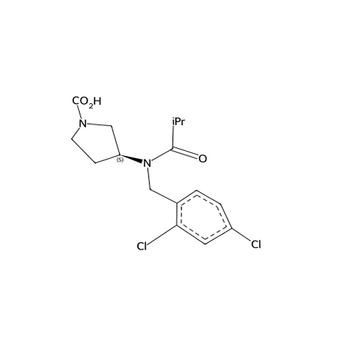 CC(C)C(=O)N(Cc1ccc(Cl)cc1Cl)[C@H]1CCN(C(=O)O)C1